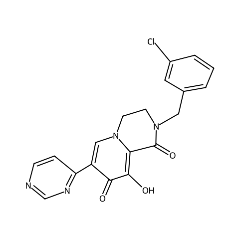 O=C1c2c(O)c(=O)c(-c3ccncn3)cn2CCN1Cc1cccc(Cl)c1